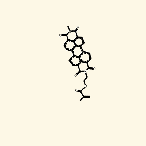 C=C(C)C(=O)OCCN1C(=O)c2ccc3c4ccc5c6c(ccc(c7ccc(c2c37)C1=O)c64)C(=O)N(C)C5=O